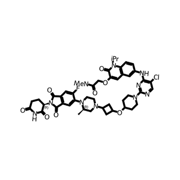 CNC(=O)COc1cc2cc(Nc3nc(N4CCC(OC5CC(N6CCN(c7cc8c(cc7F)C(=O)N([C@@H]7CCC(=O)NC7=O)C8=O)[C@H](C)C6)C5)CC4)ncc3Cl)ccc2n(C(C)C)c1=O